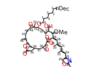 CCCCCCCCCCCCCCC[C@H](O)OC1CC(C(C)C(OC)/C(C)=C/C(C)=C/C(C)=C/c2coc(C)n2)OC(=O)C2OC2CC2CC(=O)OC(C2)C(C)CCC2OC12C